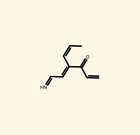 C=CC(=O)C(/C=C\C)=C/C=N